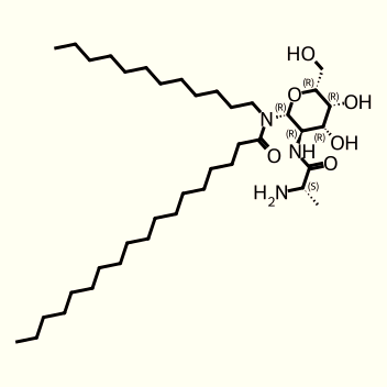 CCCCCCCCCCCCCCCCCC(=O)N(CCCCCCCCCCCC)[C@@H]1O[C@H](CO)[C@H](O)[C@H](O)[C@H]1NC(=O)[C@H](C)N